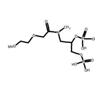 COCCOCC(=O)N(C)CC(COP(=O)(O)O)OP(=O)(O)O